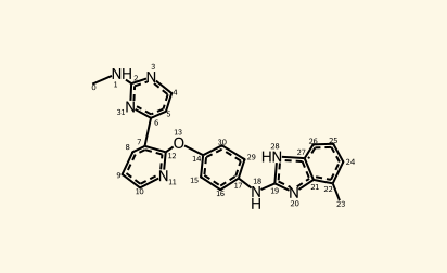 CNc1nccc(-c2cccnc2Oc2ccc(Nc3nc4c(C)cccc4[nH]3)cc2)n1